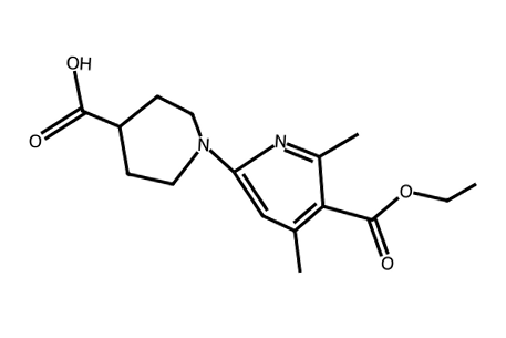 CCOC(=O)c1c(C)cc(N2CCC(C(=O)O)CC2)nc1C